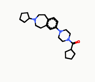 O=C(C1CCCC1)N1CCN(c2ccc3c(c2)CCN(C2CCCC2)CC3)CC1